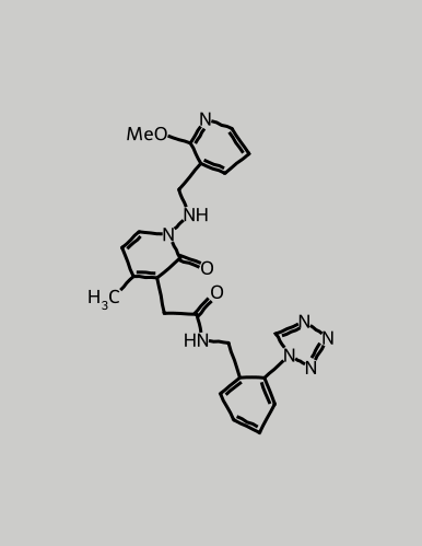 COc1ncccc1CNn1ccc(C)c(CC(=O)NCc2ccccc2-n2cnnn2)c1=O